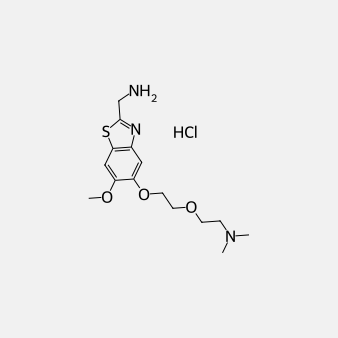 COc1cc2sc(CN)nc2cc1OCCOCCN(C)C.Cl